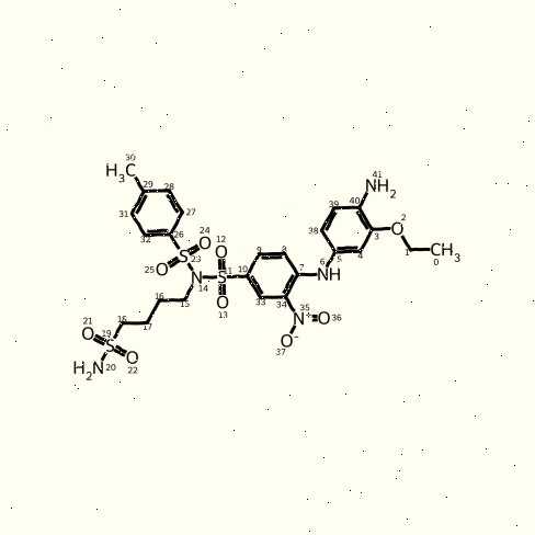 CCOc1cc(Nc2ccc(S(=O)(=O)N(CCCCS(N)(=O)=O)S(=O)(=O)c3ccc(C)cc3)cc2[N+](=O)[O-])ccc1N